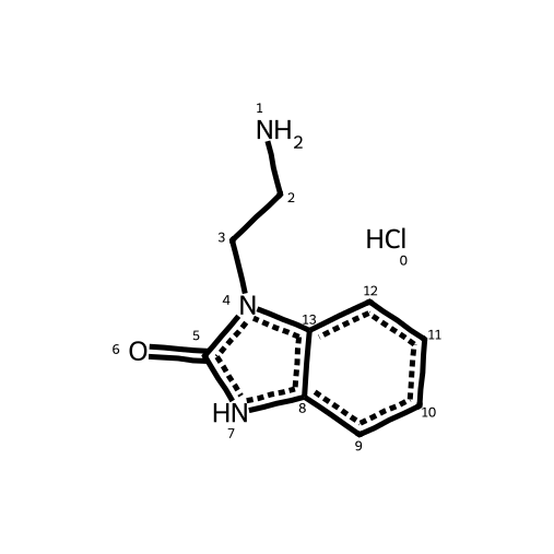 Cl.NCCn1c(=O)[nH]c2ccccc21